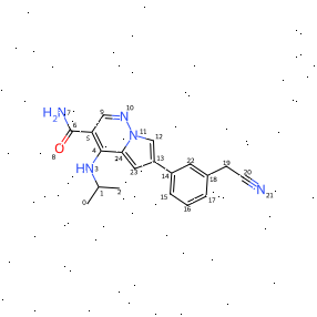 CC(C)Nc1c(C(N)=O)cnn2cc(-c3cccc(CC#N)c3)cc12